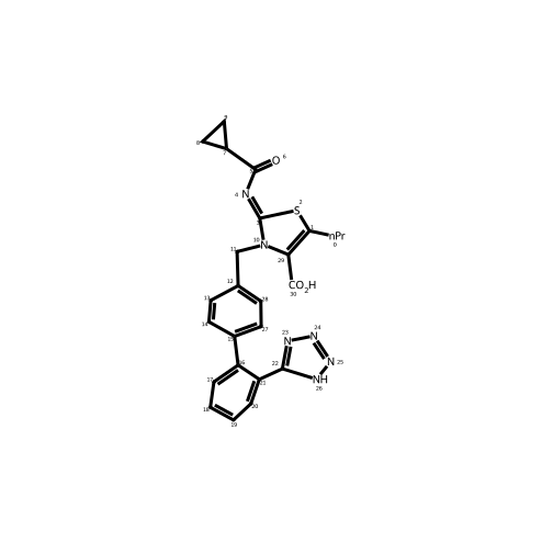 CCCc1sc(=NC(=O)C2CC2)n(Cc2ccc(-c3ccccc3-c3nnn[nH]3)cc2)c1C(=O)O